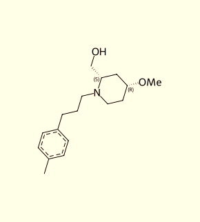 CO[C@@H]1CCN(CCCc2ccc(C)cc2)[C@H](CO)C1